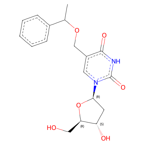 CC(OCc1cn([C@H]2C[C@H](O)[C@@H](CO)O2)c(=O)[nH]c1=O)c1ccccc1